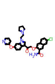 NC(=O)c1cc2cc(Cl)ccc2cc1OCC(=O)c1cn(CCN2CCCC2)c2cc(Oc3cccnc3)ccc12